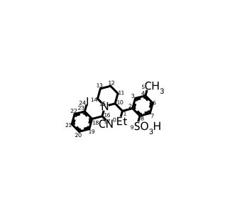 CCC(c1cc(C)ccc1S(=O)(=O)O)C1CCCCN1C(C#N)c1ccccc1I